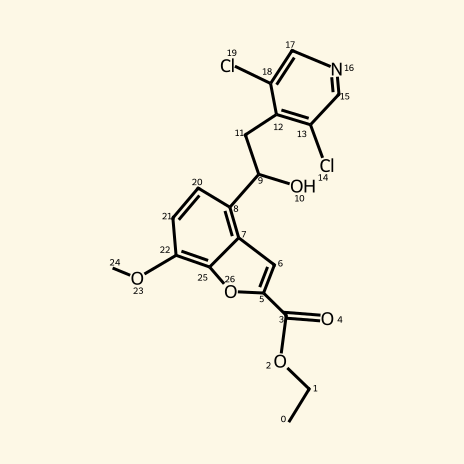 CCOC(=O)c1cc2c(C(O)Cc3c(Cl)cncc3Cl)ccc(OC)c2o1